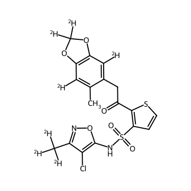 [2H]c1c(C)c(CC(=O)c2sccc2S(=O)(=O)Nc2onc(C([2H])([2H])[2H])c2Cl)c([2H])c2c1OC([2H])([2H])O2